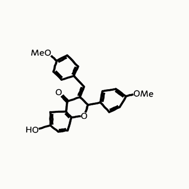 COc1ccc(C=C2C(=O)c3cc(O)ccc3OC2c2ccc(OC)cc2)cc1